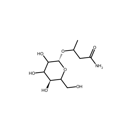 CC(CC(N)=O)O[C@@H]1OC(CO)[C@@H](O)C(O)C1O